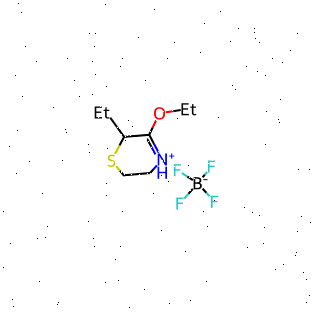 CCOC1=[NH+]CCSC1CC.F[B-](F)(F)F